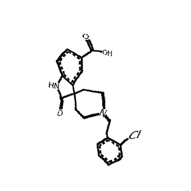 O=C(O)c1ccc2c(c1)C1(CCN(Cc3ccccc3Cl)CC1)C(=O)N2